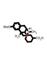 COc1ccc2c(c1)C1(C)CCN(C)[C@H](C2)C1N1CCCC(C(=O)O)C1